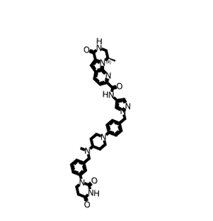 C[C@@H]1CNC(=O)c2cc3ccc(C(=O)Nc4cnn(Cc5ccc(N6CCC(N(C)Cc7cccc(N8CCC(=O)NC8=O)c7)CC6)cc5)c4)nc3n21